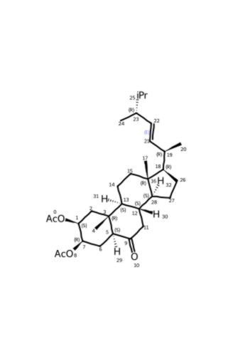 CC(=O)O[C@H]1C[C@@]2(C)[C@H](C[C@H]1OC(C)=O)C(=O)C[C@@H]1[C@@H]2CC[C@]2(C)[C@@H]([C@H](C)/C=C/[C@H](C)C(C)C)CC[C@@H]12